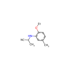 CCOc1ccc(C)cc1NC(C)C#N